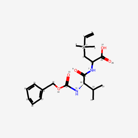 C=C[Si](C)(C)CC(NC(=O)[C@@H](NC(=O)OCc1ccccc1)C(C)C)C(=O)O